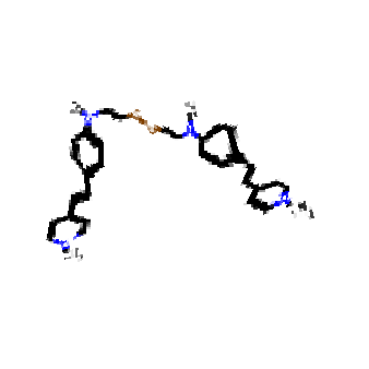 CCN(CCSSCCN(CC)c1ccc(/C=C/c2cc[n+](C)cc2)cc1)c1ccc(/C=C/c2cc[n+](C)cc2)cc1